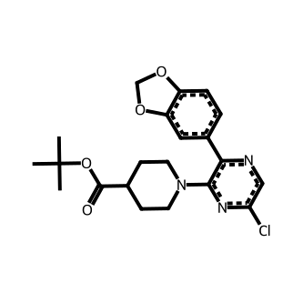 CC(C)(C)OC(=O)C1CCN(c2nc(Cl)cnc2-c2ccc3c(c2)OCO3)CC1